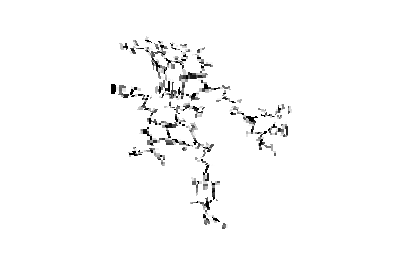 COCCn1cc(C(=O)O)c2cc(OCCN3CCN(C)CC3)cc(N3C[C@@H](C)n4c(c(CCCOc5cc(C)c(Cl)c(C)c5)c5ccc(Cl)c(-c6c(C)nn(C)c6C)c54)C3=O)c21